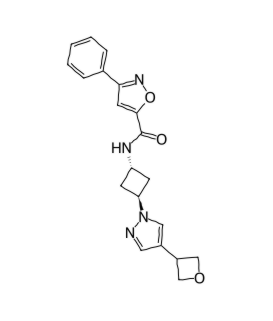 O=C(N[C@H]1C[C@H](n2cc(C3COC3)cn2)C1)c1cc(-c2ccccc2)no1